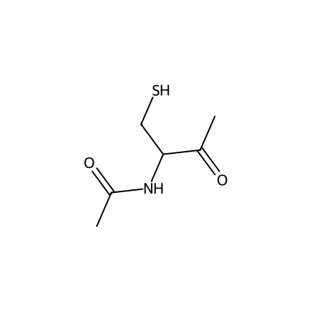 CC(=O)NC(CS)C(C)=O